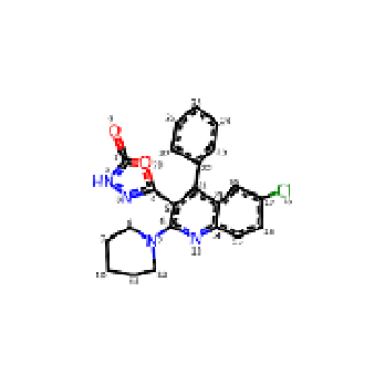 O=c1[nH]nc(-c2c(N3CCCCC3)nc3ccc(Cl)cc3c2-c2ccccc2)o1